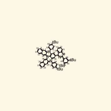 CC(C)(C)c1ccc(N2c3cc4ccccc4cc3B3c4cc5ccccc5cc4N(c4ccc(C(C)(C)C)cc4)c4cc(-c5nc(-c6cc(C(C)(C)C)cc(C(C)(C)C)c6)nc6ccccc56)cc2c43)cc1